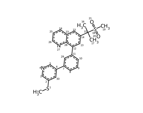 CSc1cncc(-c2cccc(-c3cc(C(C)(C)S(C)(=O)=O)cc4cccnc34)c2)c1